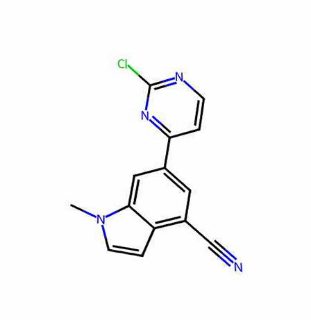 Cn1ccc2c(C#N)cc(-c3ccnc(Cl)n3)cc21